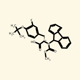 COC(=O)N(C1c2ccccc2-c2ccccc21)[C@@H](Cc1ccc(OC(C)(C)C)c(F)c1)C(=O)O